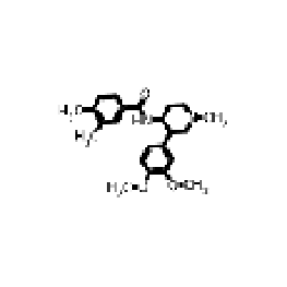 COc1ccc(C2CN(C)CCC2NC(=O)c2ccc(C)c(C)c2)cc1OC